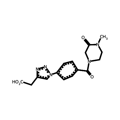 CN1CCN(C(=O)c2ccc(-n3cc(CC(=O)O)nn3)cc2)CC1=O